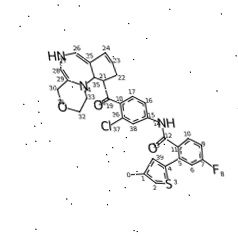 Cc1csc(-c2cc(F)ccc2C(=O)Nc2ccc(C(=O)C3CC=CC4=CNC=C5COCCN5C43)c(Cl)c2)c1